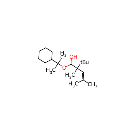 CC(C)=CC(C)(C(O)OC(C)(C)C1CCCCC1)C(C)(C)C